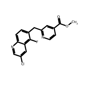 COC(=O)c1ccnc(Cc2ccc3ncc(Cl)cc3c2F)c1